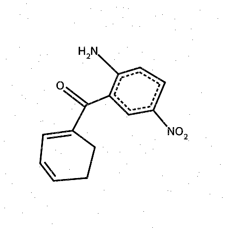 Nc1ccc([N+](=O)[O-])cc1C(=O)C1=CC=CCC1